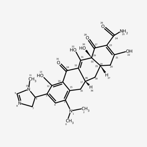 CN(C)c1cc(C2CN=CN2C)c(O)c2c1C[C@H]1C[C@H]3CC(O)=C(C(N)=O)C(=O)[C@@]3(O)C(O)=C1C2=O